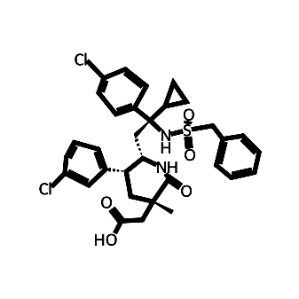 C[C@@]1(CC(=O)O)C[C@H](c2cccc(Cl)c2)[C@H](C[C@@](NS(=O)(=O)Cc2ccccc2)(c2ccc(Cl)cc2)C2CC2)NC1=O